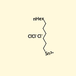 CCCCCCCCCCC[CH2][Sn+3].[Cl-].[Cl-].[Cl-]